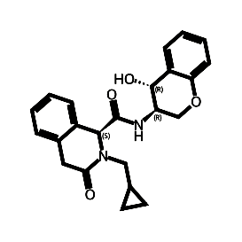 O=C(N[C@@H]1COc2ccccc2[C@H]1O)[C@@H]1c2ccccc2CC(=O)N1CC1CC1